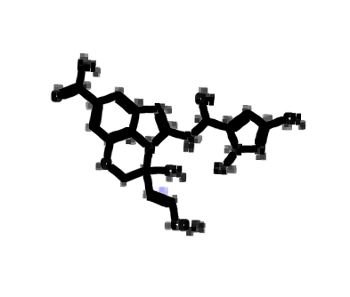 CCOC(=O)/C=C/C1(C)COc2cc(C(N)=O)cc3nc(NC(O)c4cc(C)nn4CC)n1c23